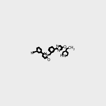 CC(Oc1cnc(-c2cccc(Cn3nc(-c4cccc(C#N)c4)ccc3=O)c2)nc1)C1CCNCC1